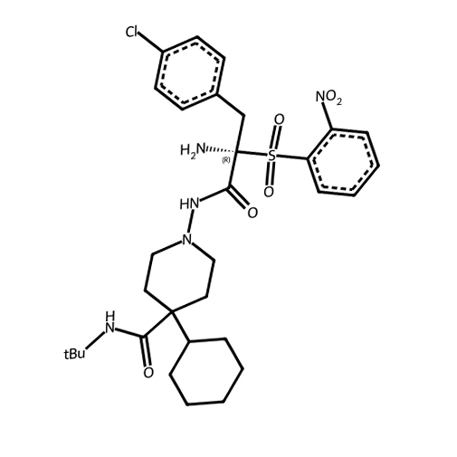 CC(C)(C)NC(=O)C1(C2CCCCC2)CCN(NC(=O)[C@@](N)(Cc2ccc(Cl)cc2)S(=O)(=O)c2ccccc2[N+](=O)[O-])CC1